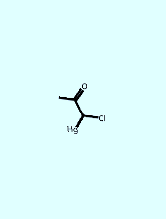 CC(=O)[CH](Cl)[Hg]